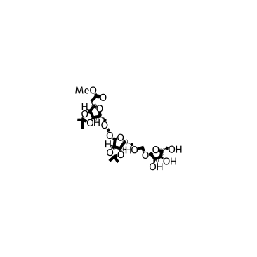 COC(=O)C[C@@H]1O[C@H](COCOC2O[C@H](COCOC3O[C@H](CO)[C@@H](O)[C@H]3O)[C@H]3OC(C)(C)O[C@@H]23)[C@H]2OC(C)(C)O[C@H]21